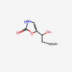 CC(=O)NCC(O)c1c[nH]c(=O)o1